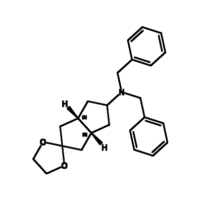 c1ccc(CN(Cc2ccccc2)C2C[C@@H]3CC4(C[C@@H]3C2)OCCO4)cc1